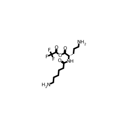 NCCCCCC(=O)N[C@@H](CCCN)C(=O)OC(=O)C(F)(F)F